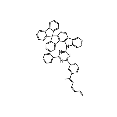 C=C/C=C\C=C(/C)c1cccc(-c2nc(-c3ccccc3)nc(-n3c4ccccc4c4ccc5c(c43)-c3ccccc3C53c4ccccc4-c4ccccc43)n2)c1